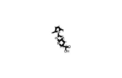 Cc1ccc(C)n1-c1nc2ncc(C(=O)O)cc2s1